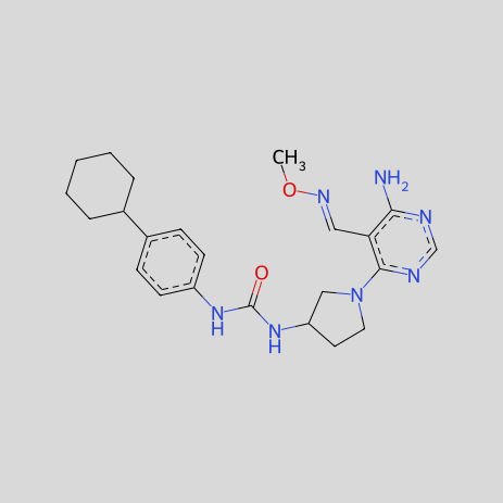 CO/N=C/c1c(N)ncnc1N1CCC(NC(=O)Nc2ccc(C3CCCCC3)cc2)C1